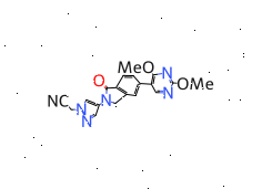 COc1ncc(-c2ccc3c(c2)CN(c2cnn(CC#N)c2)C3=O)c(OC)n1